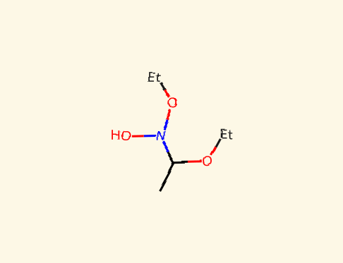 CCOC(C)N(O)OCC